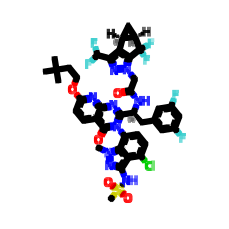 Cn1nc(NS(C)(=O)=O)c2c(Cl)ccc(-n3c([C@H](Cc4cc(F)cc(F)c4)NC(=O)Cn4nc(C(F)F)c5c4C(F)(F)[C@@H]4C[C@H]54)nc4nc(OCCC(C)(C)C)ccc4c3=O)c21